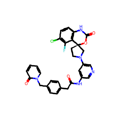 O=C(Cc1ccc(Cn2ccccc2=O)cc1)Nc1cncc(N2CC[C@]3(C2)OC(=O)Nc2ccc(Cl)c(F)c23)c1